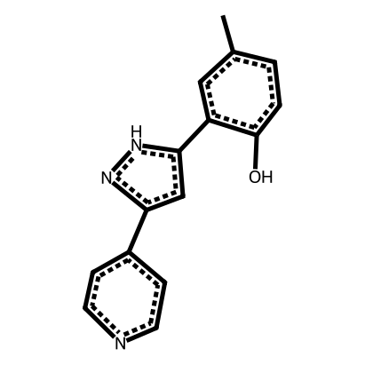 Cc1ccc(O)c(-c2cc(-c3ccncc3)n[nH]2)c1